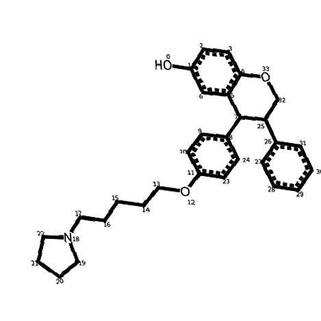 Oc1ccc2c(c1)C(c1ccc(OCCCCCN3CCCC3)cc1)C(c1ccccc1)CO2